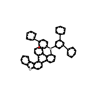 c1ccc(-c2ccc(N(c3cc(-c4ccccc4)cc(-c4ccccc4)c3)c3cccc4c5ccc6oc7ccccc7c6c5c5ccccc5c34)cc2)cc1